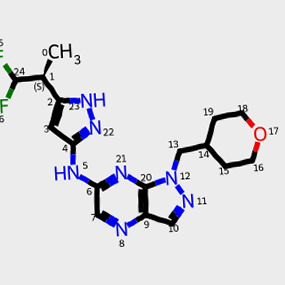 C[C@@H](c1cc(Nc2cnc3cnn(CC4CCOCC4)c3n2)n[nH]1)C(F)F